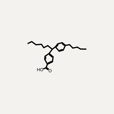 CCCCCCC(c1ccc(CCCCC)cc1)c1ccc(C(=O)O)cc1